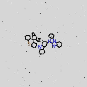 c1ccc2c(c1)Sc1ccc(-n3c4ccccc4c4cc(-n5c6ccccc6n6c7ccccc7nc56)ccc43)cc1C21c2ccccc2-c2ccccc21